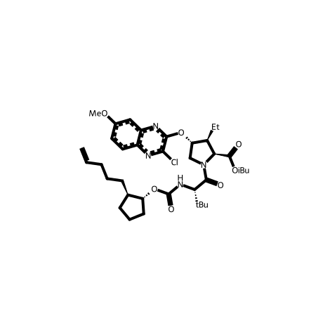 C=CCCC[C@@H]1CCC[C@H]1OC(=O)N[C@H](C(=O)N1C[C@H](Oc2nc3cc(OC)ccc3nc2Cl)[C@@H](CC)[C@H]1C(=O)OCC(C)C)C(C)(C)C